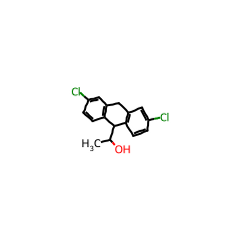 CC(O)C1c2ccc(Cl)cc2Cc2cc(Cl)ccc21